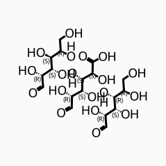 O=C[C@H](O)[C@@H](O)[C@@H](O)[C@H](O)CO.O=C[C@H](O)[C@@H](O)[C@H](O)[C@H](O)C(=O)O.O=C[C@H](O)[C@@H](O)[C@H](O)[C@H](O)CO